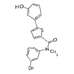 CN(C(=O)c1ccc(-c2cccc(O)c2)s1)c1cccc(O)c1